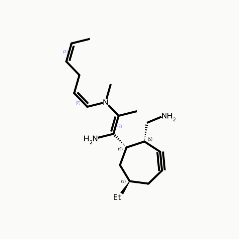 C/C=C\C/C=C\N(C)/C(C)=C(\N)[C@H]1C[C@H](CC)CC#C[C@H]1CN